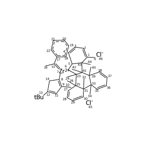 CC1=CC=CC2[CH](/[Zr+2]([C]3=C(C)C=C(C(C)(C)C)C3)=[C](/C)c3ccccc3)C3(C)C4(C)C=CC=CC4(C)C4(C)C=CC=CC4(C)C3(C)C12C.[Cl-].[Cl-]